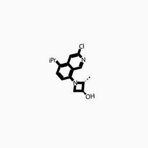 CC(C)c1ccc(N2C[C@H](O)[C@H]2C)c2cnc(Cl)cc12